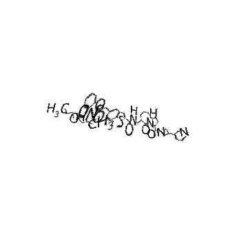 CCCOC(=O)CC(C)NP(=O)(Cc1ccc2sc(C(=O)NCC3CCC[C@H]4CC[C@@H](C(=O)N5CC(c6cccnc6)C5)N4C3=O)cc2c1)Oc1ccccc1